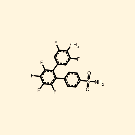 Cc1c(F)cc(-c2c(F)c(F)c(F)c(F)c2-c2ccc(S(N)(=O)=O)cc2)cc1F